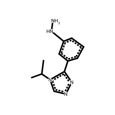 CC(C)n1cnnc1-c1cccc(NN)c1